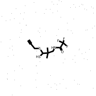 C#CCSC(S)C(C)(C)CNC(=O)C(F)(F)F